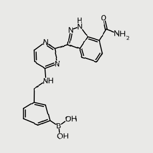 NC(=O)c1cccc2c(-c3nccc(NCc4cccc(B(O)O)c4)n3)n[nH]c12